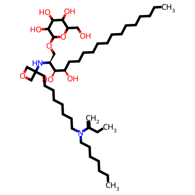 C=C(CC)N(CCCCCCC)CCCCCCCCC1(N[C@@H](COC2OC(CO)C(O)C(O)C2O)[C@H](O)[C@H](O)CCCCCCCCCCCCCC)COC1